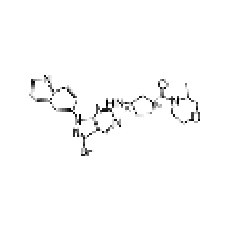 CC1COCCN1C(=O)[C@@H]1CC[C@@H](Nc2ncc3c(Br)nn(-c4ccc5ncccc5c4)c3n2)C1